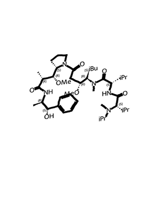 CC[C@H](C)[C@H]([C@@H](CC(=O)N1CCC[C@H]1[C@H](OC)[C@@H](C)C(=O)N[C@H](C)[C@@H](O)c1ccccc1)OC)N(C)C(=O)[C@@H](NC(=O)[C@H](C(C)C)N(C)C(C)C)C(C)C